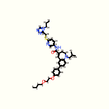 CCCCOCCOc1ccc(-c2ccc3c(c2)C=C(C(=O)Nc2ccc(SCc4nncn4CCC)nc2)CCN3CC(C)C)cc1